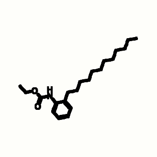 CCCCCCCCCCCCc1ccccc1NC(=O)OCC